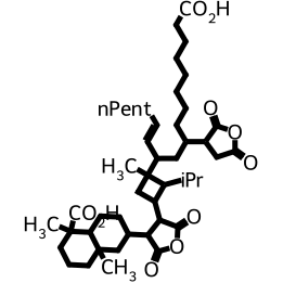 CCCCC/C=C/C(CC(CCCCCCCC(=O)O)C1CC(=O)OC1=O)C1(C)CC(C2C(=O)OC(=O)C2C2CCC3C(C)(CCCC3(C)C(=O)O)C2)C1C(C)C